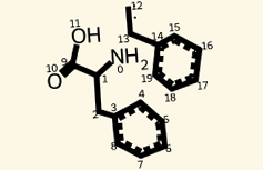 NC(Cc1ccccc1)C(=O)O.[C]Cc1ccccc1